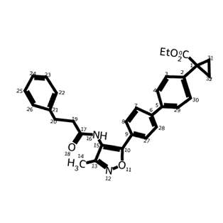 CCOC(=O)C1(c2ccc(-c3ccc(-c4onc(C)c4NC(=O)CCc4ccccc4)cc3)cc2)CC1